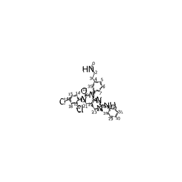 CNCCc1cccc(N2C(=O)N(c3ccc(Cl)cc3Cl)Cc3cnc(Nc4ccccc4)nc32)c1